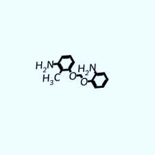 Cc1c(N)cccc1OCOc1ccccc1N